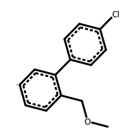 COCc1cc[c]cc1-c1ccc(Cl)cc1